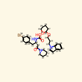 O=C(O)N[C@@H](CC(=O)N1CCC[C@@H](c2cc3ccccc3n2CCCOC2CCCCO2)C1)Cc1ccc(Br)cc1